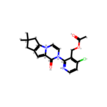 CC(=O)OCc1c(Cl)ccnc1-n1ccn2c3c(cc2c1=O)CC(C)(C)C3